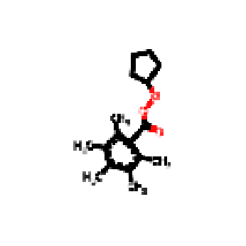 Cc1c(C)c(C)c(C(=O)OO[C]2CCCC2)c(C)c1C